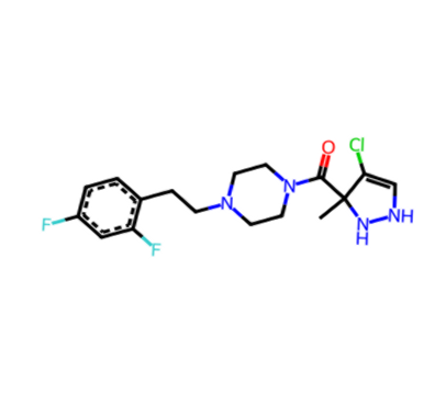 CC1(C(=O)N2CCN(CCc3ccc(F)cc3F)CC2)NNC=C1Cl